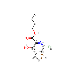 CCCCOC(=O)c1nc(Br)c2sccc2c1O